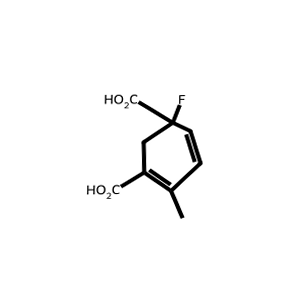 CC1=C(C(=O)O)CC(F)(C(=O)O)C=C1